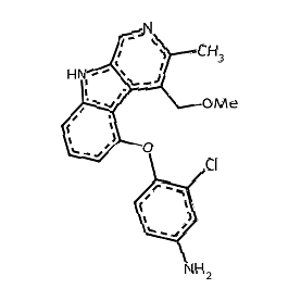 COCc1c(C)ncc2[nH]c3cccc(Oc4ccc(N)cc4Cl)c3c12